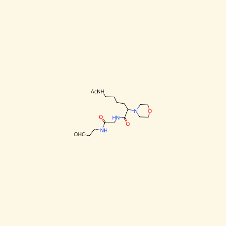 CC(=O)NCCCCC(C(=O)NCC(=O)NCCC=O)N1CCOCC1